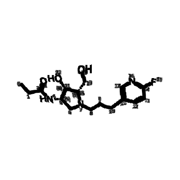 CCC(=O)N[C@H]1CN(CCCc2ccc(F)nc2)[C@@H](CO)[C@@H]1O